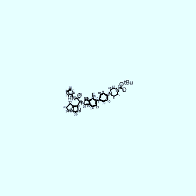 CC(C)(C)OC(=O)N1CCN(c2ccc(-c3ccc4cn(C(C(=O)Nc5nccs5)c5ncn6c5CCC6)nc4c3F)cc2)CC1